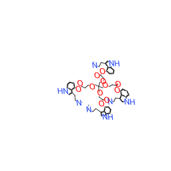 CN(C)CCc1c[nH]c2cccc(OC(=O)CCOCC(COCCC(=O)Oc3cccc4[nH]cc(CCN(C)C)c34)(COCC(=O)Oc3cccc4[nH]cc(CCN(C)C)c34)COCC(=O)Oc3cccc4[nH]cc(CCN(C)C)c34)c12